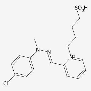 CN(N=Cc1cccc[n+]1CCCCS(=O)(=O)O)c1ccc(Cl)cc1